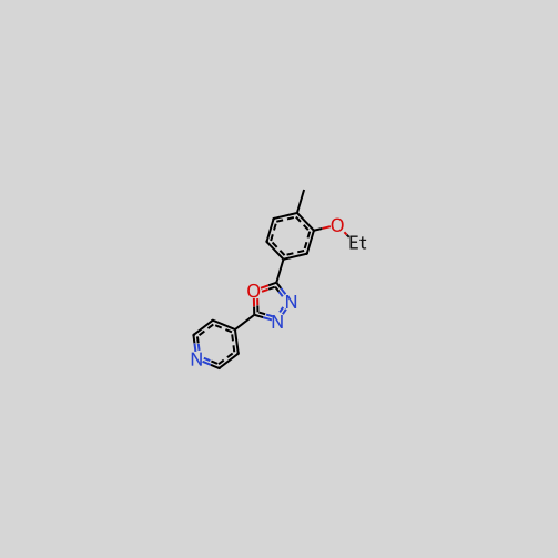 CCOc1cc(-c2nnc(-c3ccncc3)o2)ccc1C